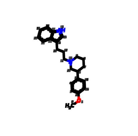 COc1ccc(C2CCCN(CCCc3c[nH]c4ccccc34)C2)cc1